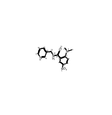 CN(C)c1ccc([N+](=O)[O-])cc1C(=O)NCc1cccnc1